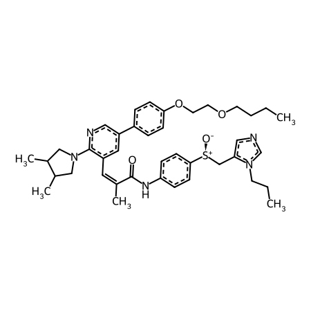 CCCCOCCOc1ccc(-c2cnc(N3CC(C)C(C)C3)c(C=C(C)C(=O)Nc3ccc([S@@+]([O-])Cc4cncn4CCC)cc3)c2)cc1